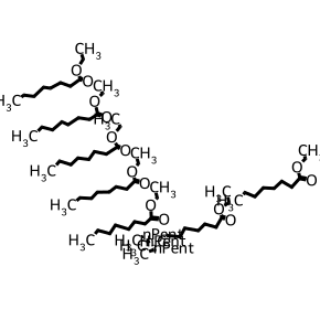 CCCCCC.CCCCCC.CCCCCC.CCCCCCCC(=O)OCC.CCCCCCCC(=O)OCC.CCCCCCCC(=O)OCC.CCCCCCCC(=O)OCC.CCCCCCCC(=O)OCC.CCCCCCCC(=O)OCC.CCCCCCCC(=O)OCC